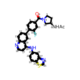 CC(=O)NC1CCN(C(=O)c2ccc(-c3ccc4nccc(Nc5ccc6scnc6c5)c4c3)c(F)c2)C1